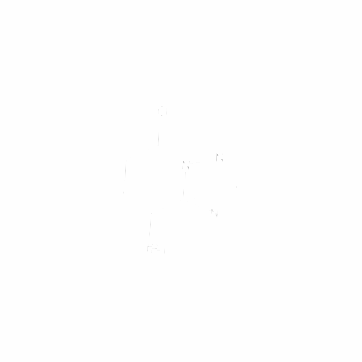 CC(C)(C)c1ccc(Cl)n2ncnc12